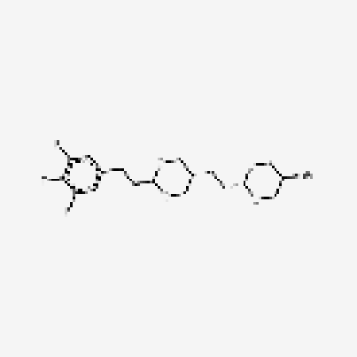 CCC[C@H]1CO[C@H](CC[C@H]2CO[C@H](CCc3cc(F)c(F)c(F)c3)OC2)OC1